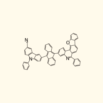 N#Cc1ccc2c(c1)c1cc(-c3c4ccccc4c(-c4ccc5c(c4)nc(-c4ccccc4)c4ccc6c7ccccc7oc6c45)c4ccccc34)ccc1n2-c1ccccc1